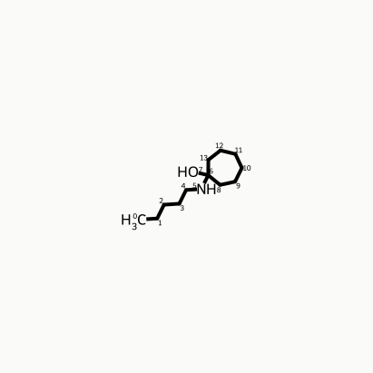 CCCCCNC1(O)CCCCCC1